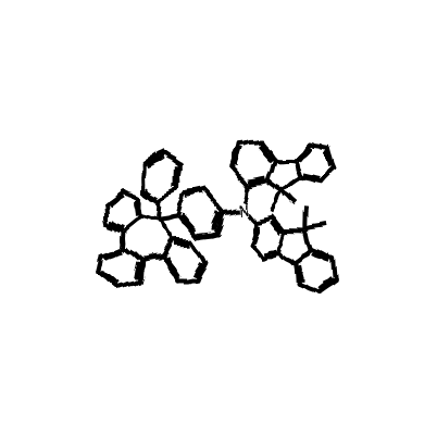 CC1(C)c2ccccc2-c2ccc(N(c3ccc(C4(c5ccccc5)c5ccccc5-c5ccccc5-c5ccccc54)cc3)c3cccc4c3C(C)(C)c3ccccc3-4)cc21